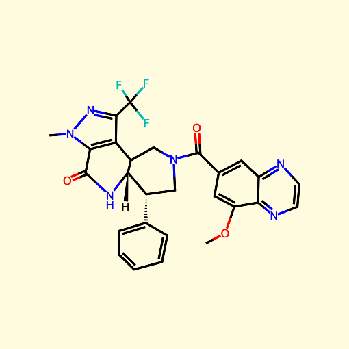 COc1cc(C(=O)N2CC3c4c(C(F)(F)F)nn(C)c4C(=O)N[C@H]3[C@@H](c3ccccc3)C2)cc2nccnc12